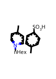 CCCCCC[n+]1ccc(C)cc1.Cc1ccc(S(=O)(=O)O)cc1